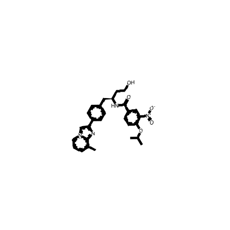 Cc1cccn2cc(-c3ccc(C[C@@H](CCO)NC(=O)c4ccc(OC(C)C)c([N+](=O)[O-])c4)cc3)nc12